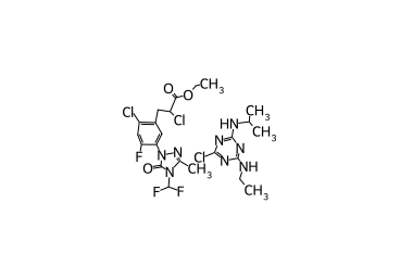 CCNc1nc(Cl)nc(NC(C)C)n1.CCOC(=O)C(Cl)Cc1cc(-n2nc(C)n(C(F)F)c2=O)c(F)cc1Cl